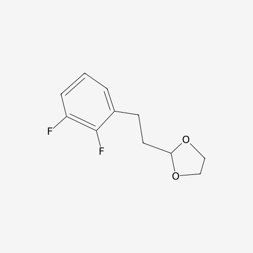 Fc1cccc(CCC2OCCO2)c1F